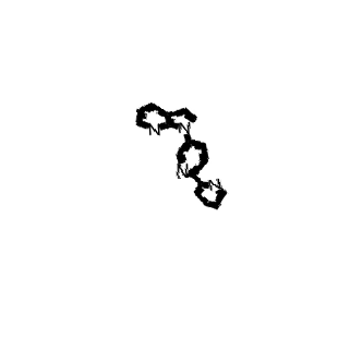 c1ccc(-c2ccc(-n3ccc4cccnc43)cn2)nc1